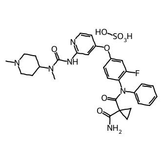 CN1CCC(N(C)C(=O)Nc2cc(Oc3ccc(N(C(=O)C4(C(N)=O)CC4)c4ccccc4)c(F)c3)ccn2)CC1.O=S(=O)(O)O